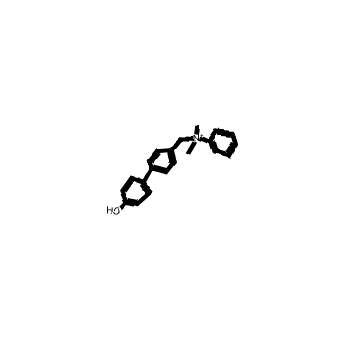 C[N+](C)(Cc1ccc(-c2ccc(O)cc2)cc1)c1ccccc1